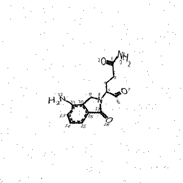 NC(=O)CCC(C=O)N1Cc2c(N)cccc2C1=O